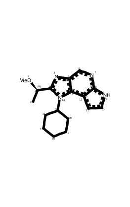 CO[C@H](C)c1nc2cnc3[nH]ccc3c2n1C1CCCCC1